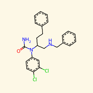 NC(=O)N(c1ccc(Cl)c(Cl)c1)C(CCc1ccccc1)CNCc1ccccc1